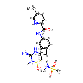 CCN(C[C@@H]1[S+]([O-])N(C)C(=N)N[C@@]12Cc1ccc(NC(=O)c3ccc(OC)cn3)cc12)S(=O)(=O)CC